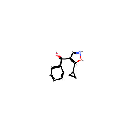 O=C(c1ccccc1)c1cnoc1C1CC1